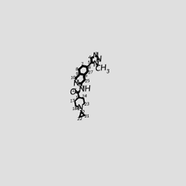 Cn1nncc1-c1ccc2cnc(NC(=O)C3CCN(C4CC4)CC3)cc2c1